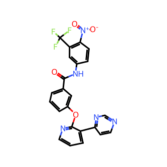 O=C(Nc1ccc([N+](=O)[O-])c(C(F)(F)F)c1)c1cccc(Oc2ncccc2-c2ccncn2)c1